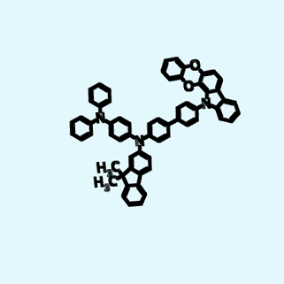 CC1(C)c2ccccc2-c2ccc(N(c3ccc(-c4ccc(-n5c6ccccc6c6ccc7c(c65)Oc5ccccc5O7)cc4)cc3)c3ccc(N(c4ccccc4)c4ccccc4)cc3)cc21